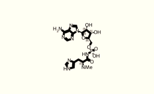 CN[C@@H](Cc1c[nH]cn1)C(=O)NP(=O)(O)OC[C@H]1O[C@@H](n2cnc3c(N)ncnc32)[C@H](O)[C@@H]1O